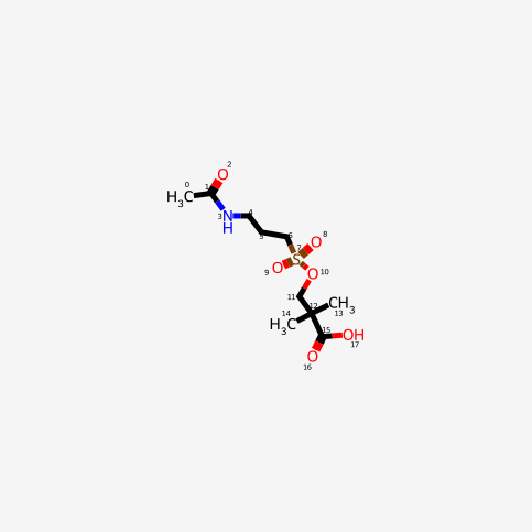 CC(=O)NCCCS(=O)(=O)OCC(C)(C)C(=O)O